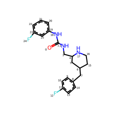 O=C(NCC1CC(Cc2ccc(F)cc2)CCN1)Nc1cccc(F)c1